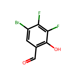 O=Cc1cc(Br)c(F)c(F)c1O